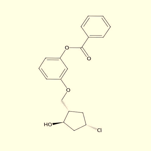 O=C(Oc1cccc(OC[C@@H]2C[C@H](Cl)C[C@H]2O)c1)c1ccccc1